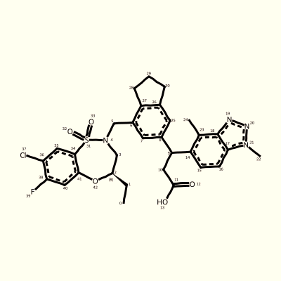 CC[C@@H]1CN(Cc2cc(C(CC(=O)O)c3ccc4c(nnn4C)c3C)cc3c2CCC3)S(=O)(=O)c2cc(Cl)c(F)cc2O1